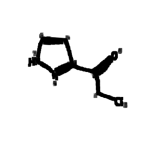 O=C(CCl)c1cc[nH]n1